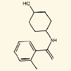 C=C(NC1CCC(O)CC1)c1ccccc1C